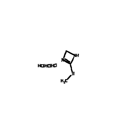 Cl.Cl.Cl.[CH3][Ti][C]1=NCN1